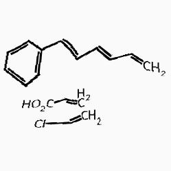 C=CC(=O)O.C=CC=CC=Cc1ccccc1.C=CCl